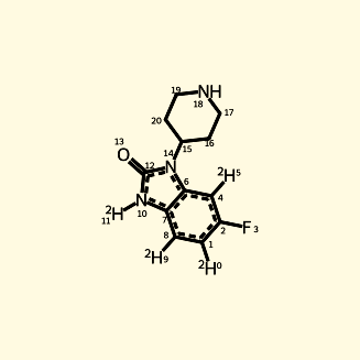 [2H]c1c(F)c([2H])c2c(c1[2H])n([2H])c(=O)n2C1CCNCC1